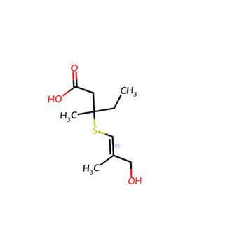 CCC(C)(CC(=O)O)S/C=C(\C)CO